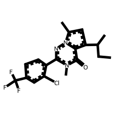 CCC(C)c1cc(C)n2nc(-c3ccc(C(F)(F)F)cc3Cl)n(C)c(=O)c12